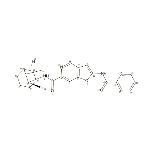 C[C@H]1[C@H](NC(=O)c2cc3oc(NC(=O)c4ccccc4)cc3cn2)C2CCN1CC2